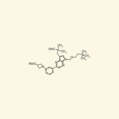 COC1CN(c2cccc(-c3cnc4c(n3)c(CC(C)(C)C=O)cn4COCC[Si](C)(C)C)c2)C1